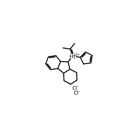 C[C](C)=[Hf+2]([C]1=CC=CC1)[CH]1C2C=CC=CC2C2CCCCC21.[Cl-].[Cl-]